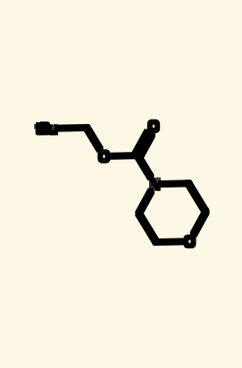 CC(C)(C)COC(=O)N1CCOCC1